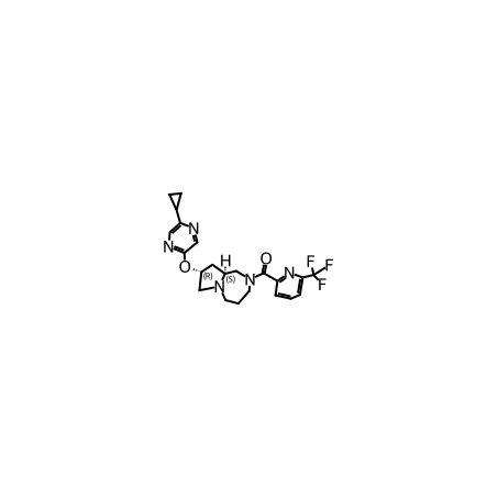 O=C(c1cccc(C(F)(F)F)n1)N1CCCN2C[C@H](Oc3cnc(C4CC4)cn3)C[C@H]2C1